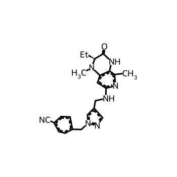 CC[C@H]1C(=O)Nc2c(cc(NCc3cnn(Cc4ccc(C#N)cc4)c3)nc2C)N1C